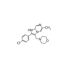 CC1=CN2C(CN3CCOCC3)=C(c3ccc(Cl)cc3)NC2C=N1